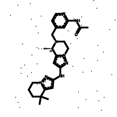 CC(=O)Nc1cc(CN2CCn3nc(Nc4cc5n(n4)CCCC5(C)C)cc3[C@@H]2C)ccn1